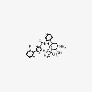 CC(C)(C)[C@H]1O[C@@H](c2ccncc2NC(=O)c2csc(-c3c(F)cccc3F)n2)C[C@@H](N)[C@@H]1O